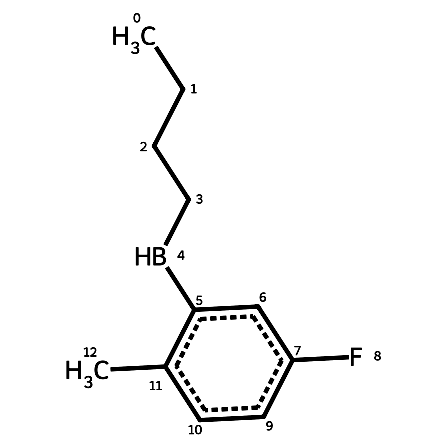 CCCCBc1cc(F)ccc1C